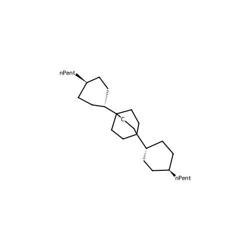 CCCCC[C@H]1CC[C@H](C23CCC([C@H]4CC[C@H](CCCCC)CC4)(CC2)CC3)CC1